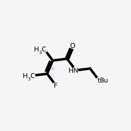 C/C(F)=C(\C)C(=O)NCC(C)(C)C